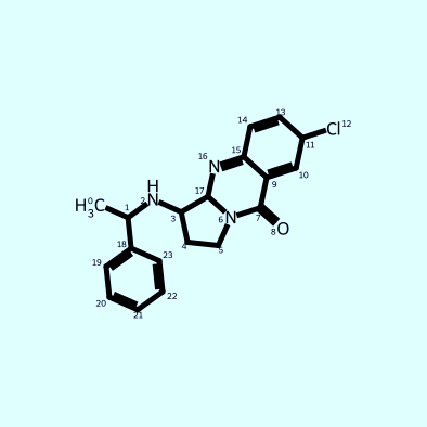 CC(NC1CCN2C(=O)C3=CC(Cl)C=CC3=NC12)c1ccccc1